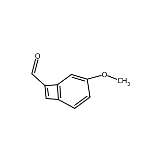 COc1ccc2c(c1)C(C=O)=C2